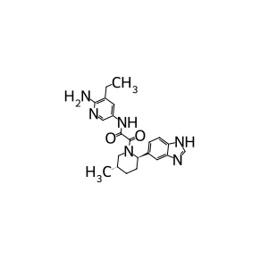 CCc1cc(NC(=O)C(=O)N2C[C@@H](C)CC[C@@H]2c2ccc3[nH]cnc3c2)cnc1N